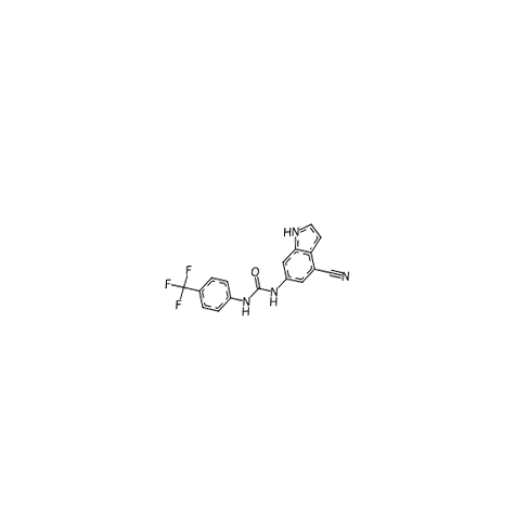 N#Cc1cc(NC(=O)Nc2ccc(C(F)(F)F)cc2)cc2[nH]ccc12